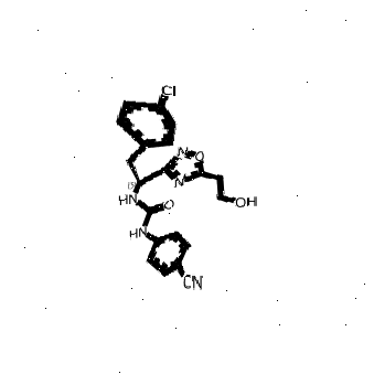 N#Cc1ccc(NC(=O)N[C@@H](Cc2ccc(Cl)cc2)c2noc(CCO)n2)cc1